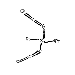 CC(C)[Si](N=C=O)(N=C=O)C(C)C